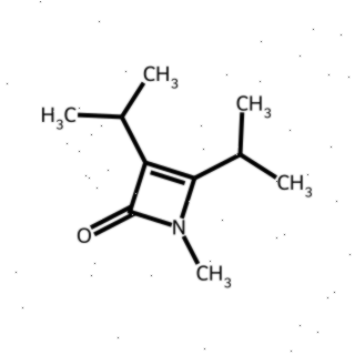 CC(C)C1=C(C(C)C)N(C)C1=O